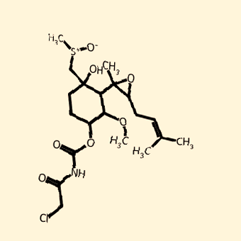 COC1C(OC(=O)NC(=O)CCl)CCC(O)(C[S+](C)[O-])C1C1(C)OC1CC=C(C)C